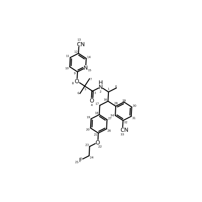 CC(NC(=O)C(C)(C)Oc1ccc(C#N)cn1)C(Cc1ccc(OCCF)cc1)c1cccc(C#N)c1